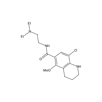 CCN(CC)CCNC(=O)c1cc(Cl)c2c(c1OC)CCCN2